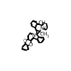 CC12C=CC=CC1C1C(C)([n+]3ccccc32)C12c1ccccc1-c1c3c(cc[n+]12)Oc1ccccc1O3